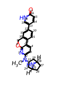 CN(c1ccc2c(n1)OCc1cc(-c3ccc(=O)[nH]c3)ccc1-2)[C@@H]1C[C@H]2CC[C@@H](C1)N2